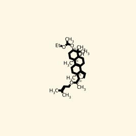 CCOC(C)O[C@H]1CC[C@]2(C)C3=C(CC[C@@H]2C1(C)C)C1=CC[C@H]([C@H](C)OCC=C(C)C)[C@@]1(C)CC3